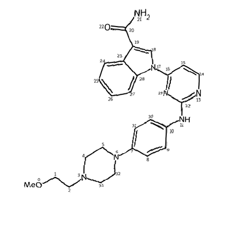 COCCN1CCN(c2ccc(Nc3nccc(-n4cc(C(N)=O)c5ccccc54)n3)cc2)CC1